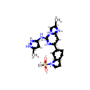 CCS(=O)(=O)n1ccc2ccc(-c3cc4nc(C)cn4c(Nc4cc(C)[nH]n4)n3)cc21